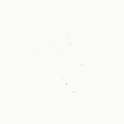 COc1cc([C@H](C)N2CCOCC2)ccc1Nc1nc(OCC(F)(F)F)c2cc[nH]c2n1